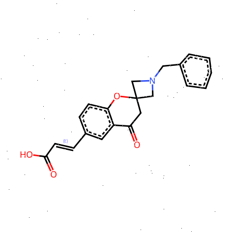 O=C(O)/C=C/c1ccc2c(c1)C(=O)CC1(CN(Cc3ccccc3)C1)O2